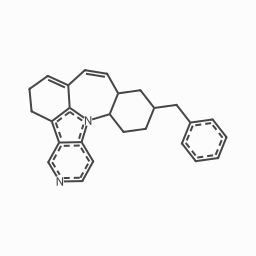 C1=CC2CC(Cc3ccccc3)CCC2n2c3c(c4cnccc42)CCC=C13